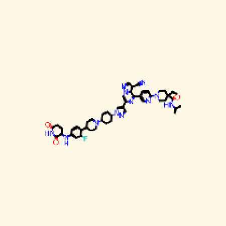 CCC1(C(=O)NC(C)C)CCN(c2ccc(-c3nc(-c4cnn([C@H]5CC[C@H](N6CCC(c7ccc(NC8CCC(=O)NC8=O)cc7F)CC6)CC5)c4)cn4ncc(C#N)c34)cn2)CC1